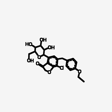 CCOc1ccc(Cc2cc(C3OC(CO)C(O)C(O)C3O)c3c(c2Cl)OCC3=O)cc1